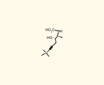 C[C@H](NC(=O)O)[C@@H](O)CC#C[Si](C)(C)C